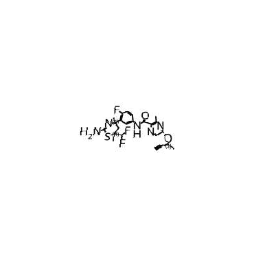 C#C[C@H](C)Oc1cnc(C(=O)Nc2ccc(F)c([C@]3(C)C[C@](C)(C(F)F)SC(N)=N3)c2)c(C)n1